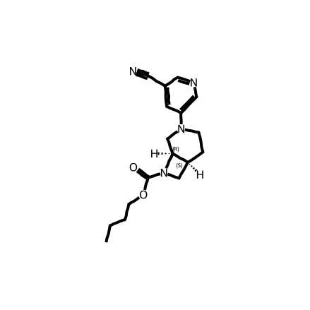 CCCCOC(=O)N1C[C@@H]2CCN(c3cncc(C#N)c3)C[C@@H]21